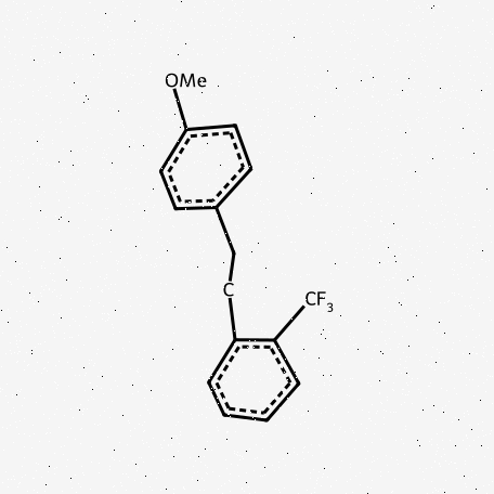 COc1ccc(CCc2ccccc2C(F)(F)F)cc1